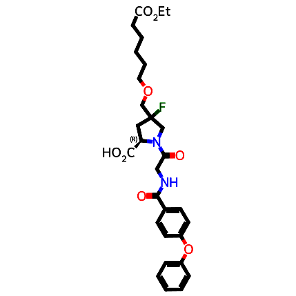 CCOC(=O)CCCCCOCC1(F)C[C@H](C(=O)O)N(C(=O)CNC(=O)c2ccc(Oc3ccccc3)cc2)C1